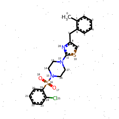 Cc1ccccc1Cc1csc(N2CCN(S(=O)(=O)c3ccccc3Cl)CC2)n1